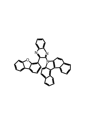 c1ccc2c(c1)ccc1c2c2c3ccccc3ccc2n1-c1nc2ccccc2nc1-c1cccc2c1oc1ccccc12